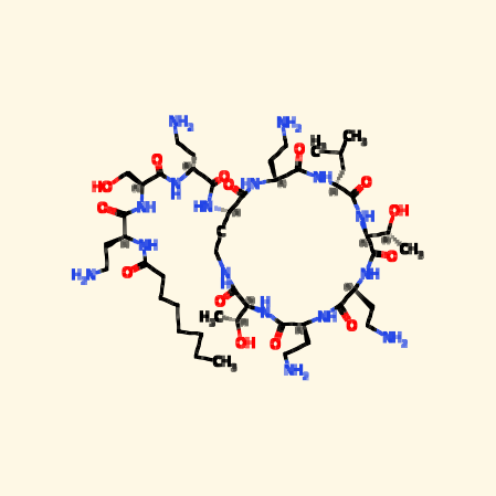 CCCCCCCC(=O)N[C@@H](CCN)C(=O)N[C@@H](CO)C(=O)N[C@H](CCN)C(=O)N[C@H]1CCNC(=O)[C@H]([C@@H](C)O)NC(=O)[C@H](CCN)NC(=O)[C@H](CCN)NC(=O)[C@H]([C@@H](C)O)NC(=O)[C@@H](CC(C)C)NC(=O)[C@H](CCN)NC1=O